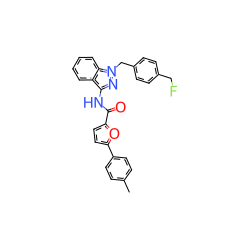 Cc1ccc(-c2ccc(C(=O)Nc3nn(Cc4ccc(CF)cc4)c4ccccc34)o2)cc1